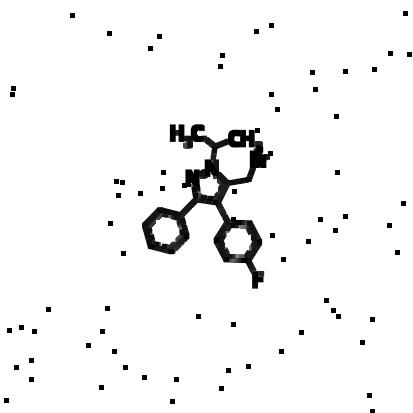 CC(C)n1nc(-c2ccccc2)c(-c2ccc(F)cc2)c1CBr